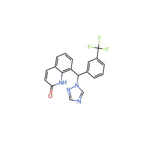 O=c1ccc2cccc(C(c3cccc(C(F)(F)F)c3)n3cncn3)c2[nH]1